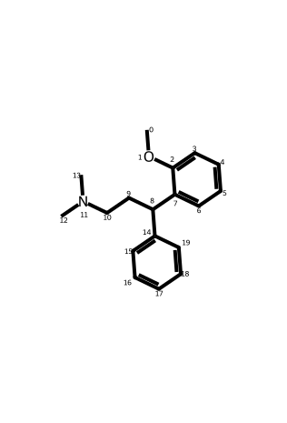 COc1ccccc1C(CCN(C)C)c1ccccc1